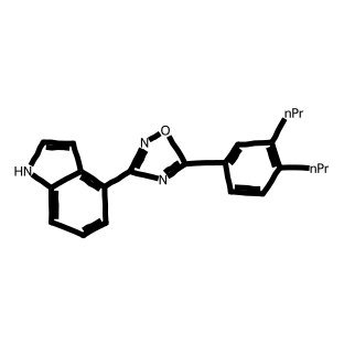 CCCc1ccc(-c2nc(-c3cccc4[nH]ccc34)no2)cc1CCC